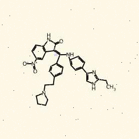 CCc1nc(-c2ccc(N/C(=C3\C(=O)Nc4ccc([N+](=O)[O-])cc43)c3ccc(CCN4CCCC4)cc3)cc2)c[nH]1